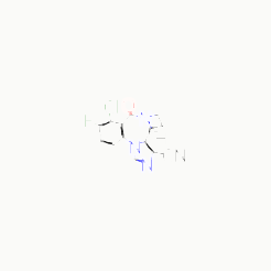 N#Cc1ncn2c1[C@@H]1CCN1C(=O)c1c-2ccc(F)c1Cl